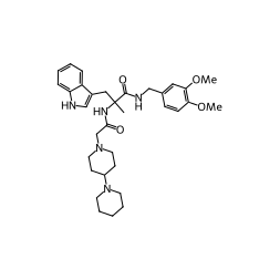 COc1ccc(CNC(=O)C(C)(Cc2c[nH]c3ccccc23)NC(=O)CN2CCC(N3CCCCC3)CC2)cc1OC